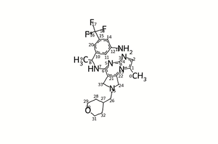 Cc1cnc2nc(NC(C)c3cc(N)cc(C(F)(F)F)c3)c3c(n12)CN(CC1CCOCC1)C3